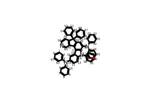 c1ccc(N(c2ccccc2)c2ccc3c(c2)c2c4c(cc(N(c5ccccc5)c5ccccc5)c2n3-c2ccccc2)C(c2ccccc2)(c2ccccc2)c2ccncc2-4)cc1